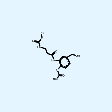 CC(C)(C)OC(=O)NCCC(=O)Nc1cc(CO)ccc1OC(=O)C(C)(C)C